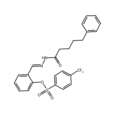 O=C(CCCCc1ccccc1)NN=Cc1ccccc1OS(=O)(=O)c1ccc(C(F)(F)F)cc1